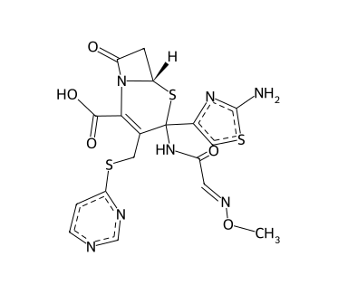 CON=CC(=O)NC1(c2csc(N)n2)S[C@H]2CC(=O)N2C(C(=O)O)=C1CSc1ccncn1